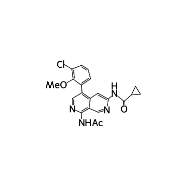 COc1c(Cl)cccc1-c1cnc(NC(C)=O)c2cnc(NC(=O)C3CC3)cc12